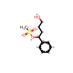 CS(=O)(=O)OC(CCCO)c1ccccc1